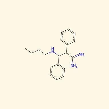 CCCCNC([C](C(=N)N)c1ccccc1)c1ccccc1